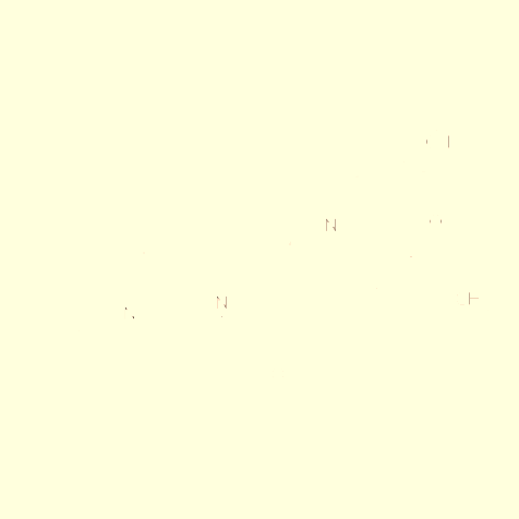 C[C@@H]1CN(c2ccc(-c3ccccn3)nc2C=O)C[C@H](C)O1